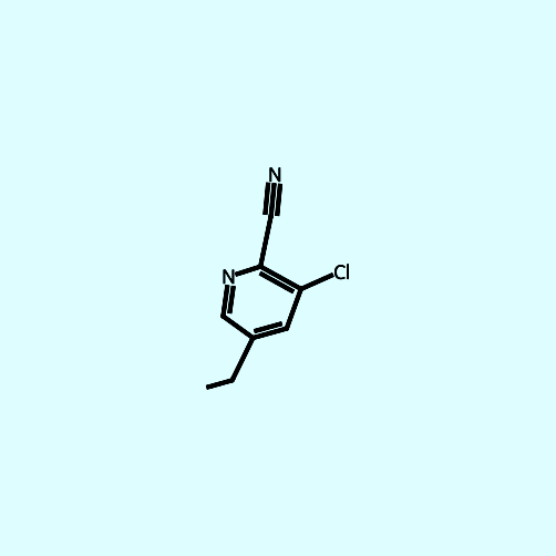 CCc1cnc(C#N)c(Cl)c1